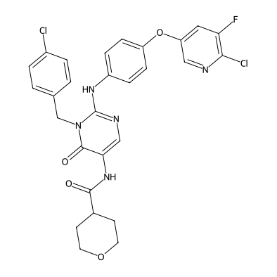 O=C(Nc1cnc(Nc2ccc(Oc3cnc(Cl)c(F)c3)cc2)n(Cc2ccc(Cl)cc2)c1=O)C1CCOCC1